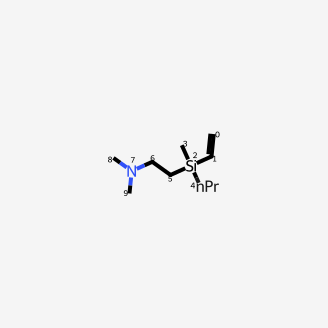 C=C[Si](C)(CCC)CCN(C)C